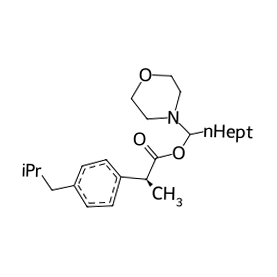 CCCCCCCC(OC(=O)[C@@H](C)c1ccc(CC(C)C)cc1)N1CCOCC1